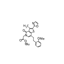 COc1ccccc1CCc1cn(CC(=O)OC(C)(C)C)c(=O)c2c(C)c(-c3ncco3)sc12